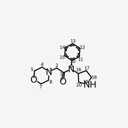 O=C(CN1CCOCC1)N(c1ccccc1)C1CCNC1